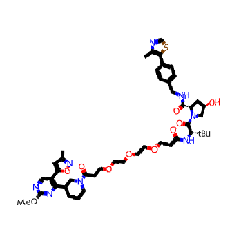 COc1ncc(-c2cc(C)no2)c(C2CCCN(C(=O)CCOCCOCCOCCC(=O)N[C@H](C(=O)N3C[C@H](O)C[C@H]3C(=O)NCc3ccc(-c4scnc4C)cc3)C(C)(C)C)C2)n1